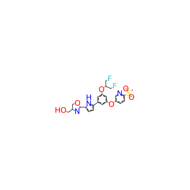 CS(=O)(=O)c1ccc(Oc2cc(OC(CF)CF)cc(-c3ccc(C4=NC(CO)CO4)[nH]3)c2)cn1